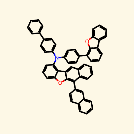 c1ccc(-c2ccc(N(c3ccc(-c4cccc5c4oc4ccccc45)cc3)c3cccc4oc5c(-c6ccc7ccccc7c6)c6ccccc6cc5c34)cc2)cc1